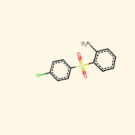 O=[N+]([O-])c1ccccc1S(=O)(=O)c1ccc(Cl)cc1